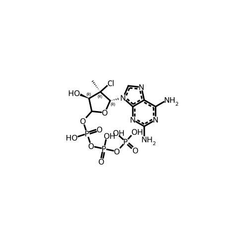 C[C@@]1(Cl)[C@H](O)C(OP(=O)(O)OP(=O)(O)OP(=O)(O)O)O[C@H]1n1cnc2c(N)nc(N)nc21